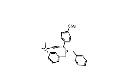 COc1ccc([C@H](C#CS(C)(C)C)N(Cc2ccccc2)Cc2ccccc2)cc1